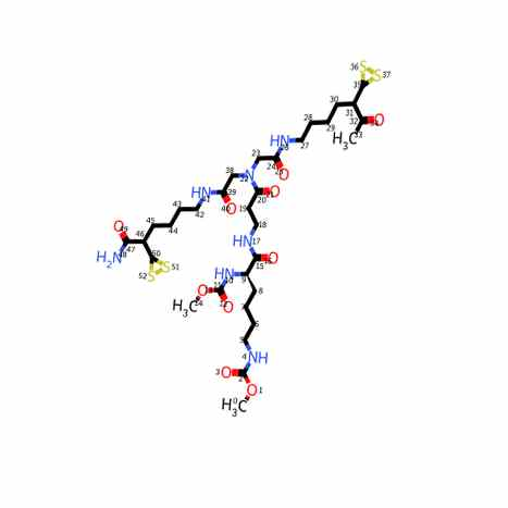 COC(=O)NCCCC[C@@H](NC(=O)OC)C(=O)NCCC(=O)N(CC(=O)NCCCCC(C(C)=O)C1SS1)CC(=O)NCCCCC(C(N)=O)C1SS1